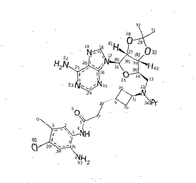 Cc1cc(NC(=O)CC[C@H]2C[C@H](N(C[C@H]3O[C@@H](n4cnc5c(N)ncnc54)[C@@H]4OC(C)(C)O[C@@H]43)C(C)C)C2)c(N)cc1Cl